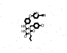 CCCN1C(=O)NC(Nc2ccc(Oc3ccc(C#N)nc3)cc2)N(Cc2ccc(Cl)cc2)C1=O